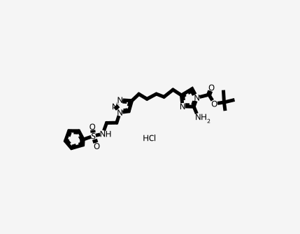 CC(C)(C)OC(=O)n1cc(CCCCCc2cn(CCNS(=O)(=O)c3ccccc3)nn2)nc1N.Cl